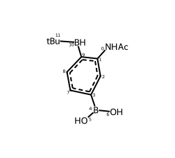 CC(=O)Nc1cc(B(O)O)ccc1BC(C)(C)C